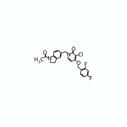 CC(=O)N1CCc2cc(Cn3ccc(OCc4ccc(F)cc4F)c(Cl)c3=O)ccc21